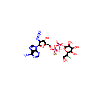 [N-]=[N+]=NC1[C@H](n2cnc3c(N)ncnc32)O[C@H](COP(=O)(S)OP(=O)(O)OC2OC([C@@H](F)CO)C(O)C(O)C2O)[C@H]1O